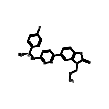 COCn1c(=O)oc2ccc(-c3cnc(N[C@H](C)c4ccc(F)cc4)nn3)cc21